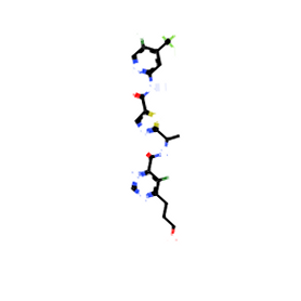 CC(NC(=O)c1ncnc(CCCO)c1Cl)c1ncc(C(=O)Nc2cc(C(F)(F)F)c(Cl)cn2)s1